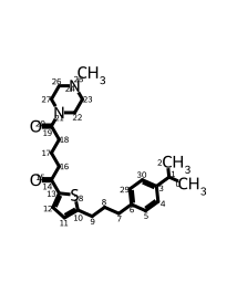 CC(C)c1ccc(CCCc2ccc(C(=O)CCCC(=O)N3CCN(C)CC3)s2)cc1